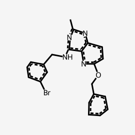 Cc1nc(NCc2cccc(Br)c2)c2nc(OCc3ccccc3)ccc2n1